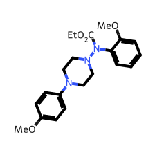 CCOC(=O)N(c1ccccc1OC)N1CCN(c2ccc(OC)cc2)CC1